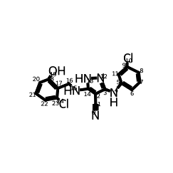 N#Cc1c(Nc2cccc(Cl)c2)n[nH]c1NCc1c(O)cccc1Cl